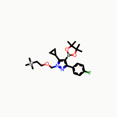 CC1(C)OB(c2c(-c3ccc(F)cc3)nn(COCC[Si](C)(C)C)c2C2CC2)OC1(C)C